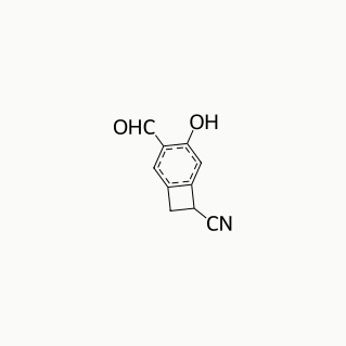 N#CC1Cc2cc(C=O)c(O)cc21